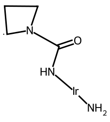 [NH2][Ir][NH]C(=O)N1[CH]CC1